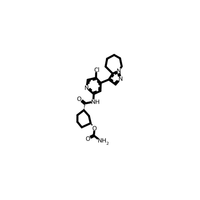 NC(=O)O[C@@H]1CCC[C@H](C(=O)Nc2cc(-c3cnn4c3CCCCC4)c(Cl)cn2)C1